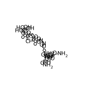 CC[C@@H]1CN(C(=O)c2ccc(C(=O)N3C[C@@H](CCl)c4c3cc(OC(=O)N(C)CCN(C)C(=O)OCc3ccc(NC(=O)[C@H](CCCNC(N)=O)NC(=O)[C@@H](NC(=O)[C@H](CCCCN)NC(C)=O)C(C)C)cc3)c3ccccc43)s2)c2cc(O[C@@H]3OC(CO)[C@H](O)C(O)[C@@H]3O)c3ccccc3c21